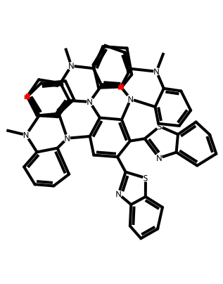 CN1c2ccccc2N(c2cc(-c3nc4ccccc4s3)c(-c3nc4ccccc4s3)c(N3c4ccccc4N(C)c4ccccc43)c2N2c3ccccc3N(C)c3ccccc32)c2ccccc21